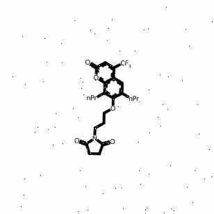 CCCc1cc2c(C(F)(F)F)cc(=O)oc2c(CCC)c1OCCCN1C(=O)CCC1=O